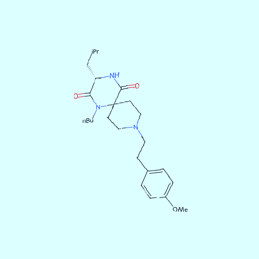 CCCCN1C(=O)[C@H](CC(C)C)NC(=O)C12CCN(CCc1ccc(OC)cc1)CC2